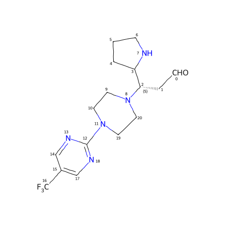 O=CC[C@@H](C1CCCN1)N1CCN(c2ncc(C(F)(F)F)cn2)CC1